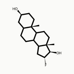 C[C@]12CC[C@H](O)CC1CCC1C2CC[C@@]2(C)C1C[C@@H](F)[C@@H]2O